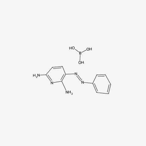 Nc1ccc(N=Nc2ccccc2)c(N)n1.OB(O)O